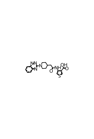 O=C(CC1CCN(c2nnc3ccccc3n2)CC1)Nc1cscc1C(=O)O